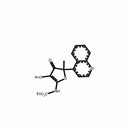 CCOC(=O)NC1=C(OC(C)=O)C(=O)C(C)(c2ccnc3ccccc23)O1